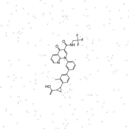 C=C(O)C1CC1c1ccc(-c2cccc(-n3cc(C(=O)NCC(F)(F)F)c(=O)c4cccnc43)c2)cc1C